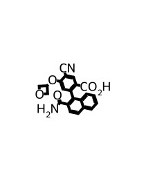 N#Cc1cc(C(=O)O)c(-c2c(C(N)=O)ccc3ccccc23)cc1OC1COC1